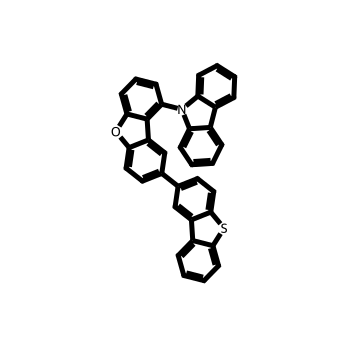 c1cc(-n2c3ccccc3c3ccccc32)c2c(c1)oc1ccc(-c3ccc4sc5ccccc5c4c3)cc12